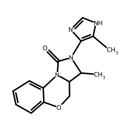 Cc1[nH]cnc1N1C(=O)N2c3ccccc3OCC2C1C